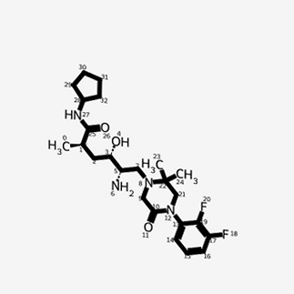 C[C@H](C[C@H](O)[C@@H](N)CN1CC(=O)N(c2cccc(F)c2F)CC1(C)C)C(=O)NC1CCCC1